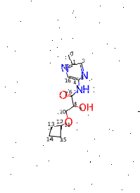 Cc1cnc(NC(=O)C(O)COC2CCC2)cn1